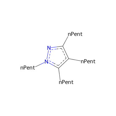 CCCCCc1nn(CCCCC)c(CCCCC)c1CCCCC